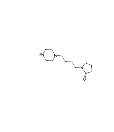 O=C1CCCN1CCCCN1CCNCC1